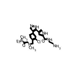 CCN(C)C(=O)CN(C)Cc1ccc(-c2cn[nH]c2-c2c[nH]c(C(=O)NCCN)c2)cc1Cl